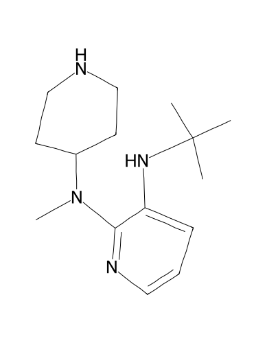 CN(c1ncccc1NC(C)(C)C)C1CCNCC1